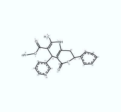 CCCOC(=O)C1=C(C)NC2=C(C(=O)CC(c3ccccc3)C2)C1c1cccnc1